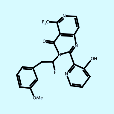 COc1cccc(CC(F)n2c(-c3ncccc3O)nc3ccnc(C(F)(F)F)c3c2=O)c1